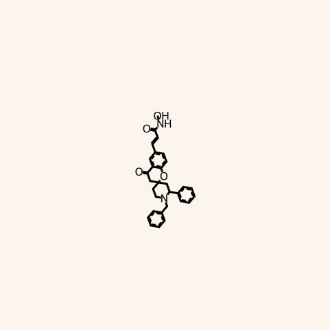 O=C(/C=C/c1ccc2c(c1)C(=O)CC1(CCN(Cc3ccccc3)C(c3ccccc3)C1)O2)NO